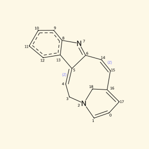 C1=CN2C/C=C3\C(=Nc4ccccc43)/C=C\C(=C1)C2